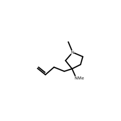 C=CCCC1(NC)CCN(C)C1